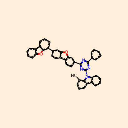 N#Cc1cccc2c3ccccc3n(-c3nc(-c4ccccc4)nc(-c4ccc5c(c4)oc4cc(-c6cccc7c6oc6ccccc67)ccc45)n3)c12